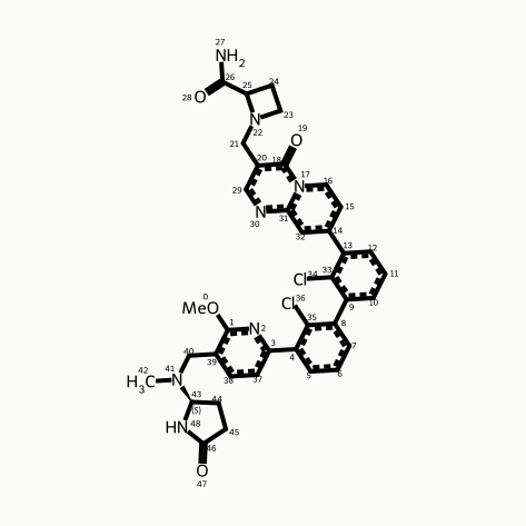 COc1nc(-c2cccc(-c3cccc(-c4ccn5c(=O)c(CN6CCC6C(N)=O)cnc5c4)c3Cl)c2Cl)ccc1CN(C)[C@H]1CCC(=O)N1